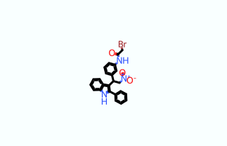 O=C(CBr)Nc1cccc(C(C[N+](=O)[O-])c2c(-c3ccccc3)[nH]c3ccccc23)c1